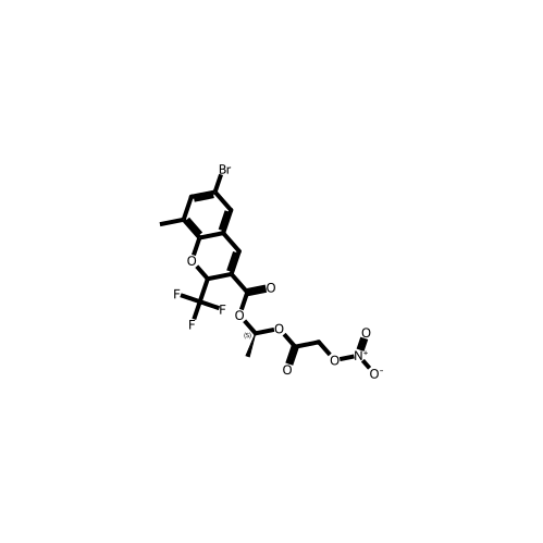 Cc1cc(Br)cc2c1OC(C(F)(F)F)C(C(=O)O[C@H](C)OC(=O)CO[N+](=O)[O-])=C2